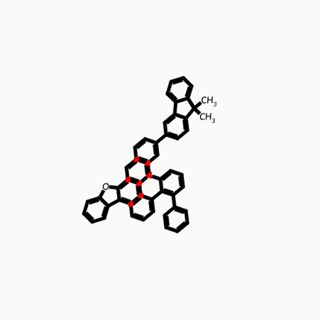 CC1(C)c2ccccc2-c2cc(-c3cccc(N(c4ccc5c(c4)oc4ccccc45)c4cccc(-c5ccccc5)c4-c4ccccc4-c4ccccc4)c3)ccc21